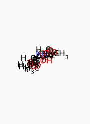 CCC(C#N)(CCC(O)C(Cc1ccc(OC)c(OC)c1)[N+](=O)[O-])c1cc(OC)c(OC)c(OC)c1